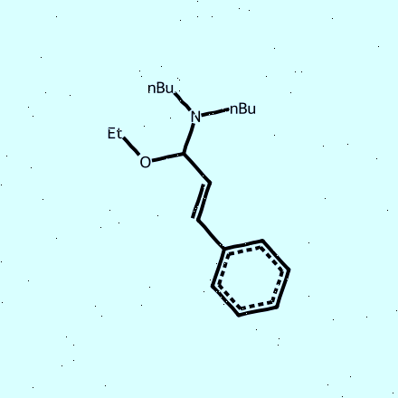 CCCCN(CCCC)C(C=Cc1ccccc1)OCC